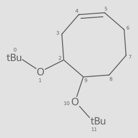 CC(C)(C)OC1CC=CCCCC1OC(C)(C)C